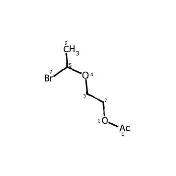 CC(=O)OCCOC(C)Br